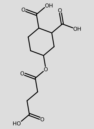 O=C(O)CCC(=O)OC1CCC(C(=O)O)C(C(=O)O)C1